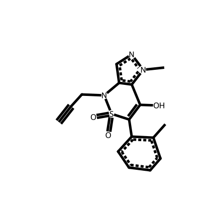 C#CCN1c2cnn(C)c2C(O)=C(c2ccccc2C)S1(=O)=O